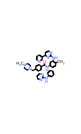 Cc1ccc(NC(=O)c2ccc(CN3CCN(C)CC3)cc2)cc1Nc1nccc(-c2cccnc2)n1.c1ccc(Nc2ncccn2)cc1